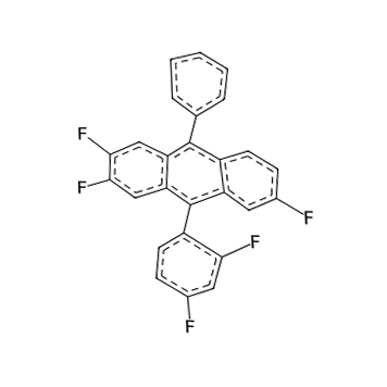 Fc1ccc(-c2c3cc(F)ccc3c(-c3ccccc3)c3cc(F)c(F)cc23)c(F)c1